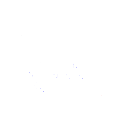 OCC1CCN(c2nccc(N3Cc4[nH]nc(Nc5cccc(Oc6ccccc6)c5)c4C3)n2)CC1